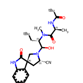 C[C@H](NC(=O)C(C)(C)C)C(=O)N(C)[C@@H](CC(C)(C)C)C(O)N1C[C@]2(C[C@H]1C#N)C(=O)Nc1ccccc12